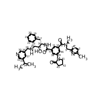 Cc1csc(CN(C)C(=O)c2cc(C(=O)N[C@@H](Cc3ccccc3)[C@H](O)CNCc3cncc(C(C)C)c3)cc(N3CCCC3=O)c2)n1